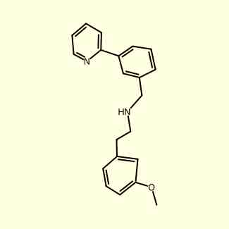 COc1cccc(CCNCc2cccc(-c3ccccn3)c2)c1